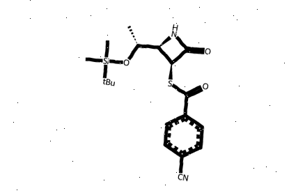 C[C@@H](O[Si](C)(C)C(C)(C)C)[C@H]1NC(=O)[C@H]1SC(=O)c1ccc(C#N)cc1